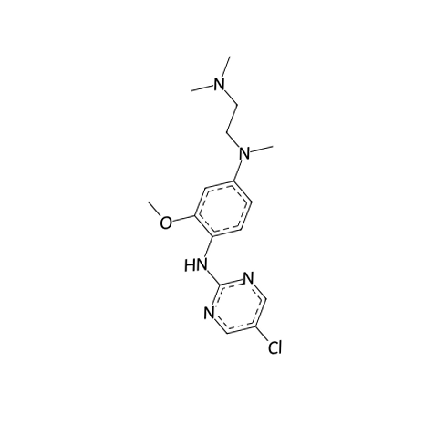 COc1cc(N(C)CCN(C)C)ccc1Nc1ncc(Cl)cn1